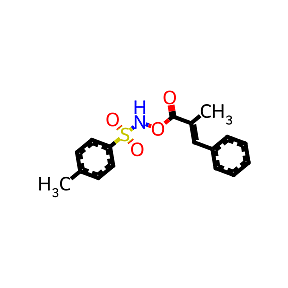 C/C(=C\c1ccccc1)C(=O)ONS(=O)(=O)c1ccc(C)cc1